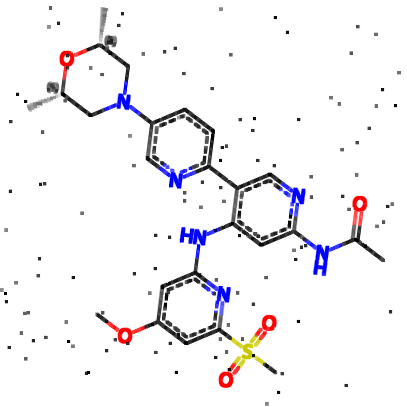 COc1cc(Nc2cc(NC(C)=O)ncc2-c2ccc(N3C[C@@H](C)O[C@@H](C)C3)cn2)nc(S(C)(=O)=O)c1